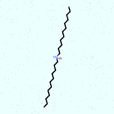 Br.CCCCCCCCCCCCNCCCCCCCCCCCC